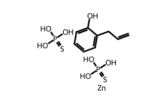 C=CCc1ccccc1O.OP(O)(O)=S.OP(O)(O)=S.[Zn]